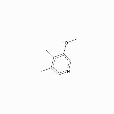 COc1cncc(C)c1C